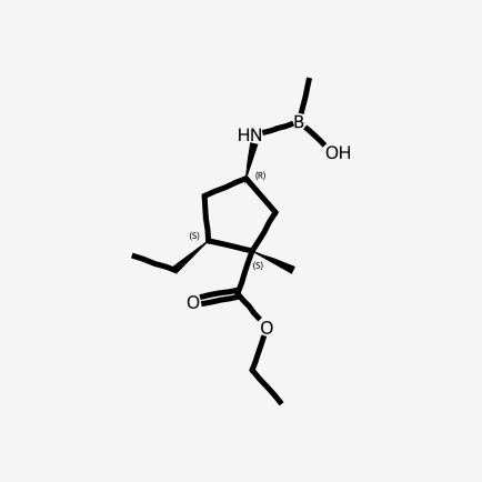 CCOC(=O)[C@@]1(C)C[C@H](NB(C)O)C[C@@H]1CC